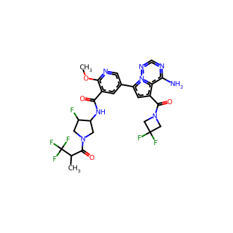 COc1ncc(-c2cc(C(=O)N3CC(F)(F)C3)c3c(N)ncnn23)cc1C(=O)NC1CN(C(=O)C(C)C(F)(F)F)CC1F